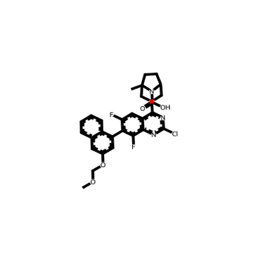 COCOc1cc(-c2c(F)cc3c(N4CC5CCC(C)(C4)N5C(=O)O)nc(Cl)nc3c2F)c2ccccc2c1